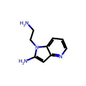 NCCn1c(N)cc2ncccc21